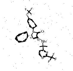 CC(C)(N[C@@H]1C[C@H](c2ccccc2)N(c2ccc(OC(F)(F)F)cc2)C1=O)c1ccnc(C(F)(F)F)n1